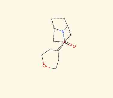 CC1(C)CC2CCC(C1)N2C(=O)C1CCOCC1